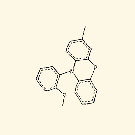 COc1ccccc1N1c2ccccc2Oc2cc(C)ccc21